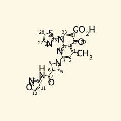 Cc1cc(N2CC(C(=O)Nc3ccon3)C2)nc2c1c(=O)c(C(=O)O)cn2-c1nccs1